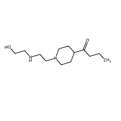 CCCC(=O)C1CCN(CCNCCO)CC1